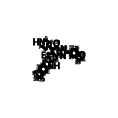 CCc1c(N2CCNCC2)c(=O)n2nc(-c3ccc4c(c3)CCO4)nc2n1CC(=O)Nc1cc2ccsc2cc1C